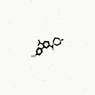 CC(C)c1ccc(C(=O)N2CCCN(C)CC2)cc1-c1ccc(O)cc1